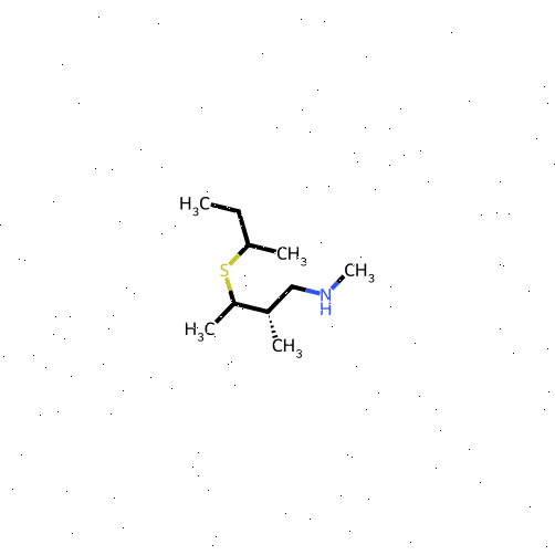 CCC(C)SC(C)[C@@H](C)CNC